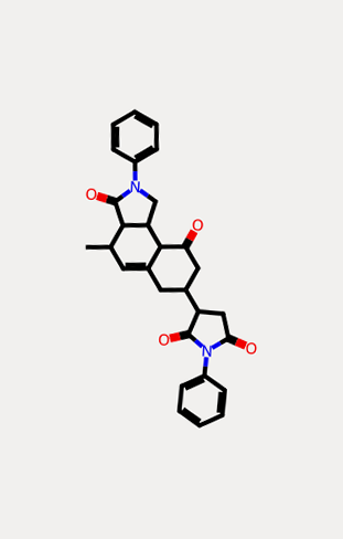 CC1C=C2CC(C3CC(=O)N(c4ccccc4)C3=O)CC(=O)C2C2CN(c3ccccc3)C(=O)C12